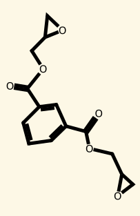 O=C(OCC1CO1)c1cccc(C(=O)OCC2CO2)c1